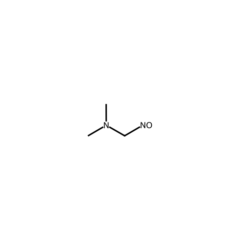 CN(C)CN=O